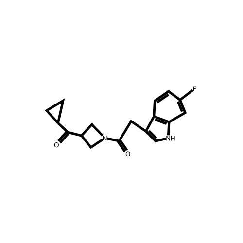 O=C(C1CC1)C1CN(C(=O)Cc2c[nH]c3cc(F)ccc23)C1